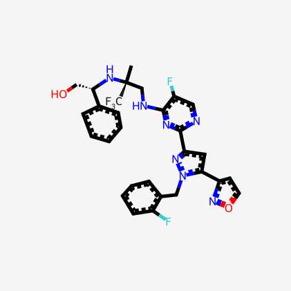 C[C@](CNc1nc(-c2cc(-c3ccon3)n(Cc3ccccc3F)n2)ncc1F)(N[C@@H](CO)c1ccccc1)C(F)(F)F